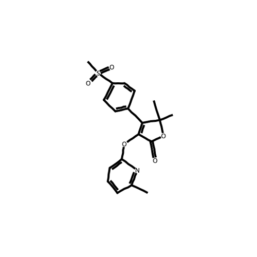 Cc1cccc(OC2=C(c3ccc(S(C)(=O)=O)cc3)C(C)(C)OC2=O)n1